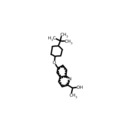 CC(O)c1ccc2cc(OC3CCC(C(C)(C)C)CC3)ccc2n1